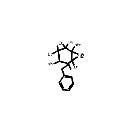 CCCCC1(CC)C(C)(Cc2ccccc2)C(CCC)C(C)(CC)C(O)(CC)C1(CCC)CCC